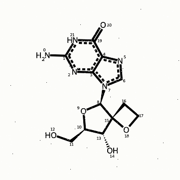 Nc1nc2c(ncn2[C@@H]2O[C@H](CO)[C@@H](O)[C@]23CCO3)c(=O)[nH]1